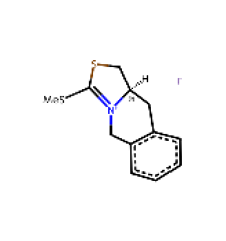 CSC1=[N+]2Cc3ccccc3C[C@@H]2CS1.[I-]